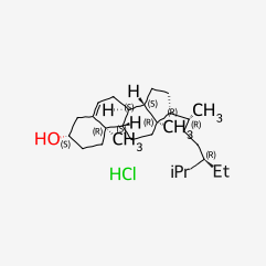 CC[C@H](CC[C@@H](C)[C@H]1CC[C@H]2[C@@H]3CC=C4C[C@@H](O)CC[C@]4(C)[C@H]3CC[C@]12C)C(C)C.Cl